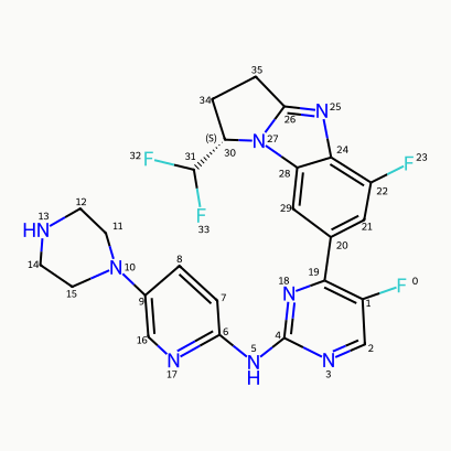 Fc1cnc(Nc2ccc(N3CCNCC3)cn2)nc1-c1cc(F)c2nc3n(c2c1)[C@H](C(F)F)CC3